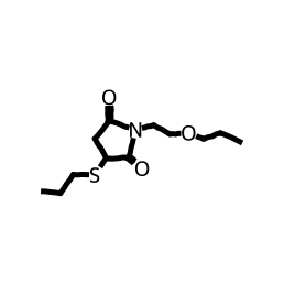 CCCOCCN1C(=O)CC(SCCC)C1=O